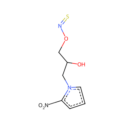 O=[N+]([O-])c1cccn1CC(O)CON=S